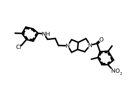 Cc1ccc(NCCCN2CC3CN(C(=O)c4c(C)cc([N+](=O)[O-])cc4C)CC3C2)cc1Cl